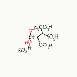 CCOCC.O=C(O)CC(C(=O)O)S(=O)(=O)O.O=S(=O)(O)O